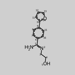 NC(=NCCO)c1ccc(-c2ccco2)cc1